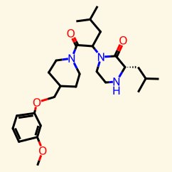 COc1cccc(OCC2CCN(C(=O)C(CC(C)C)N3CCN[C@@H](CC(C)C)C3=O)CC2)c1